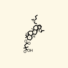 C=C(C)[C@@H]1CC[C@]2(CCN(C)CCC)CC[C@]3(C)[C@H](CC[C@@H]4[C@@]5(C)CC[C@H](OC(=O)CC(C)(C)C(=O)O)C(C)(C)[C@@H]5CC[C@]43C)[C@@H]12